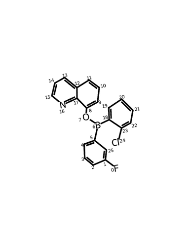 Fc1cccc(B(Oc2cccc3cccnc23)c2ccccc2Cl)c1